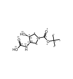 CC(C)(C)OC(=O)N1C[C@H](O)[C@H](NC(=O)O)C1